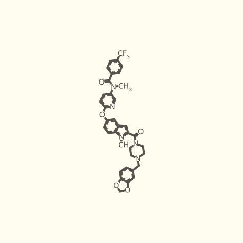 CN(C(=O)c1ccc(C(F)(F)F)cc1)c1ccc(Oc2ccc3c(c2)cc(C(=O)N2CCN(Cc4ccc5c(c4)OCO5)CC2)n3C)nc1